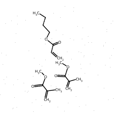 C=C(C)C(=O)OC.C=C(C)C(=O)OC.C=CC(=O)OCCCC